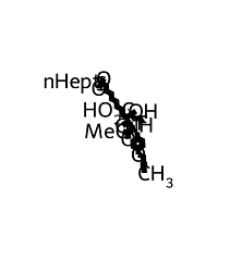 CC#CCOc1ccc(C[C@H](NC(=O)[C@@H](/C=C/CCCCCCS(=O)(=O)CCCCCCC)[C@@](O)(CCF)C(=O)O)C(=O)OC)cc1